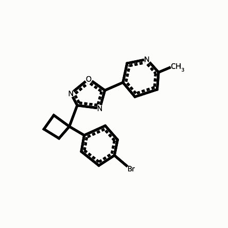 Cc1ccc(-c2nc(C3(c4ccc(Br)cc4)CCC3)no2)cn1